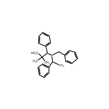 CC(c1ccccc1)N(Cc1ccccc1)[C@H](c1ccccc1)C(C)(C)C(=O)O